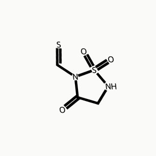 O=C1CNS(=O)(=O)N1C=S